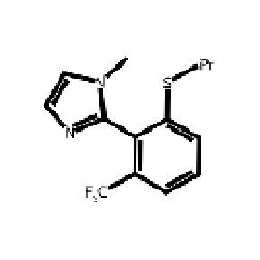 CC(C)Sc1cccc(C(F)(F)F)c1-c1nccn1C